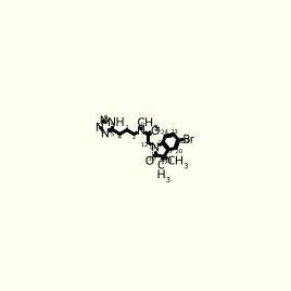 CN(CCCc1nnn[nH]1)C(=O)CN1C(=O)C(C)(C)c2cc(Br)ccc21